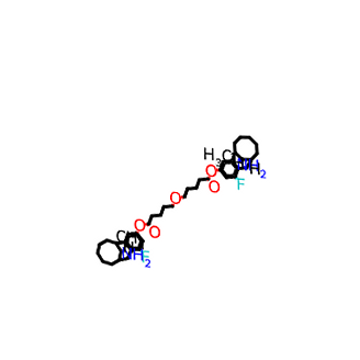 C[C@@]12CCCCCC(Cc3c(F)cc(OC(=O)CCCCOCCCCC(=O)Oc4cc(F)c5c(c4)[C@@]4(C)CCCCC[C@@H](C5)[C@@H]4N)cc31)[C@@H]2N